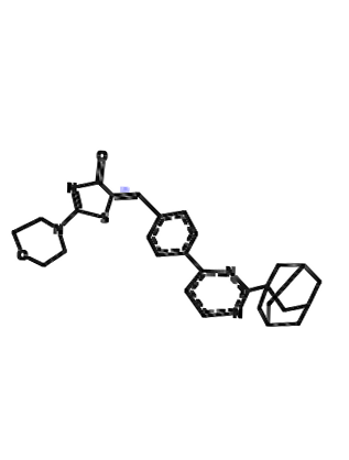 O=C1N=C(N2CCOCC2)S/C1=C\c1ccc(-c2ccnc(C34CC5CC(CC(C5)C3)C4)n2)cc1